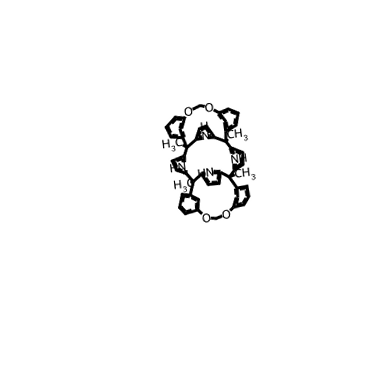 CC12c3cccc(c3)OCOc3cccc(c3)C(C)(c3ccc1[nH]3)c1ccc([nH]1)C1(C)c3cccc(c3)OCOc3cccc(c3)C(C)(c3ccc1[nH]3)c1ccc2[nH]1